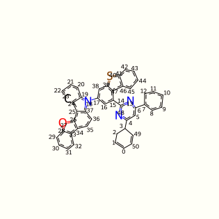 C1=CCC(c2cc(-c3ccccc3)nc(-c3cc(-n4c5ccccc5c5c6oc7ccccc7c6ccc54)cc4sc5ccccc5c34)n2)C=C1